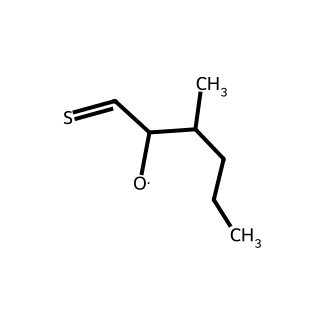 CCCC(C)C([O])C=S